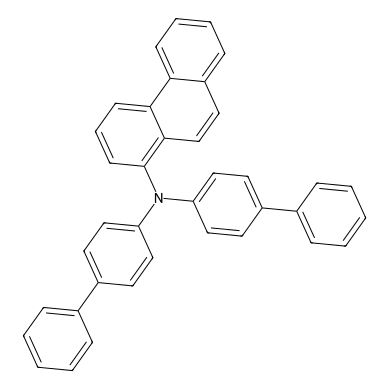 c1ccc(-c2ccc(N(c3ccc(-c4ccccc4)cc3)c3cccc4c3ccc3ccccc34)cc2)cc1